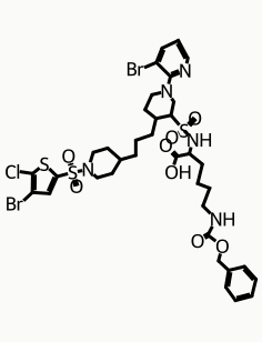 O=C(NCCCCC(NS(=O)(=O)C1CN(c2ncccc2Br)CCC1CCCC1CCN(S(=O)(=O)c2cc(Br)c(Cl)s2)CC1)C(=O)O)OCc1ccccc1